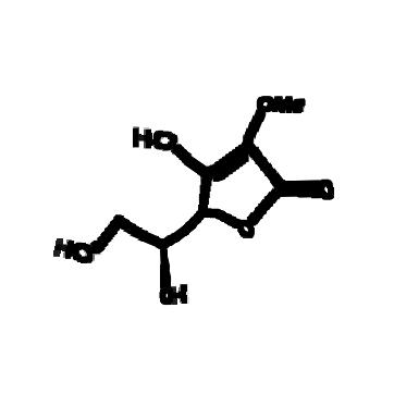 COC1=C(O)C([C@@H](O)CO)OC1=O